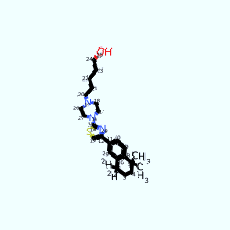 [2H]C1([2H])CCC(C)(C)c2ccc(-c3csc(N4CCN(CCCCCO)CC4)n3)cc21